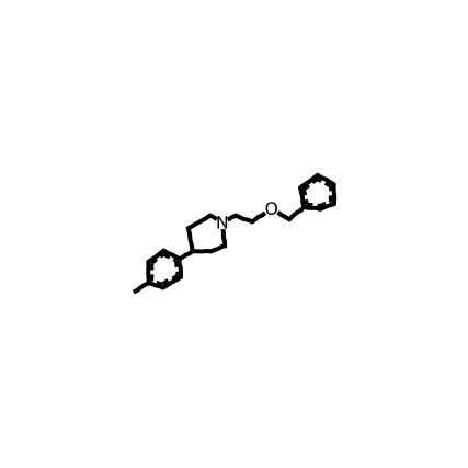 Cc1ccc(C2CCN(CCOCc3ccccc3)CC2)cc1